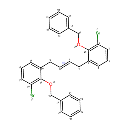 Brc1cccc(C/C=C/Cc2cccc(Br)c2OCc2ccccc2)c1OCc1ccccc1